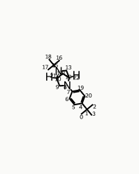 CC(C)(C)c1ccc(N2C[C@H]3C[C@@H]2CN3C(C)(C)C)cc1